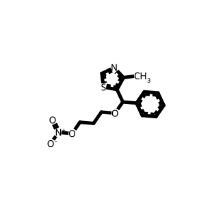 Cc1ncsc1C(OCCCO[N+](=O)[O-])c1ccccc1